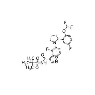 CC(C)(C)S(=O)(=O)NC(=O)c1cnn2ccc(N3CCCC3c3cc(F)ccc3OC(F)F)c(F)c12